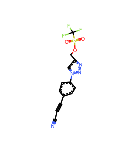 N#CC#Cc1ccc(-n2cc(COS(=O)(=O)C(F)(F)F)nn2)cc1